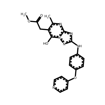 COC(=O)Cc1c(C)nc2nc(Nc3ccc(Oc4ccncc4)cc3)nn2c1O